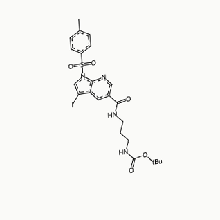 Cc1ccc(S(=O)(=O)n2cc(I)c3cc(C(=O)NCCCNC(=O)OC(C)(C)C)cnc32)cc1